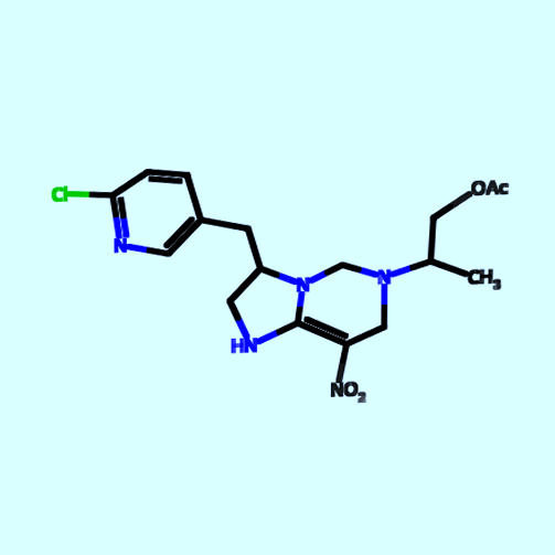 CC(=O)OCC(C)N1CC([N+](=O)[O-])=C2NCC(Cc3ccc(Cl)nc3)N2C1